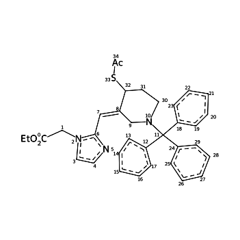 CCOC(=O)Cn1ccnc1/C=C1\CN(C(c2ccccc2)(c2ccccc2)c2ccccc2)CCC1SC(C)=O